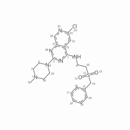 CN1CCN(c2nc(NCCS(=O)(=O)Cc3ccccc3)c3cc(Cl)ncc3n2)CC1